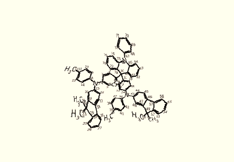 C=C(/C=C\C(=C/C)N(c1ccc(C)cc1)c1ccc2c(c1)C(C)(C)c1ccccc1-2)C1(c2ccc(N(c3ccc(C)cc3)c3ccc4c(c3)C(C)(C)c3ccccc3-4)cc2)c2ccccc2N(c2ccccc2)c2ccccc21